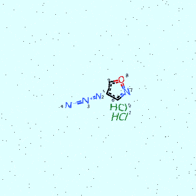 Cl.Cl.[N-]=[N+]=[N-].c1cnoc1